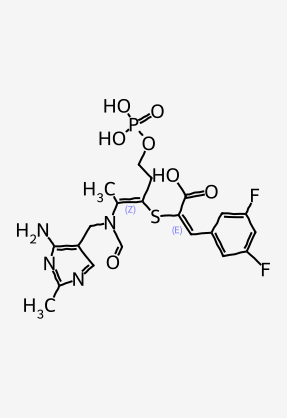 C/C(=C(\CCOP(=O)(O)O)S/C(=C/c1cc(F)cc(F)c1)C(=O)O)N(C=O)Cc1cnc(C)nc1N